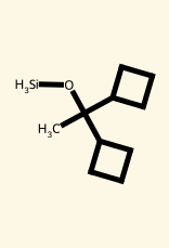 CC(O[SiH3])(C1CCC1)C1CCC1